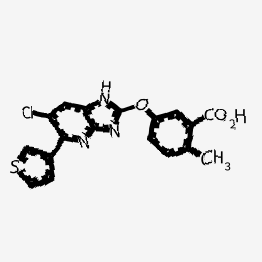 Cc1ccc(Oc2nc3nc(-c4ccsc4)c(Cl)cc3[nH]2)cc1C(=O)O